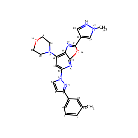 Cc1cccc(-c2ccn(-c3cc(N4CCOCC4)c4nc(-c5cnn(C)c5)oc4n3)n2)c1